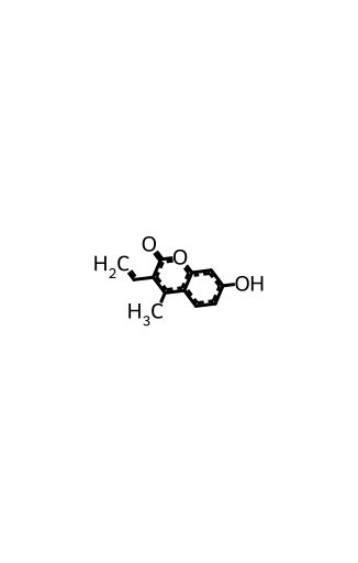 C=Cc1c(C)c2ccc(O)cc2oc1=O